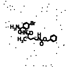 C[C@@H](CCCNC(=O)OCc1ccccc1)C(=O)Nc1cc(Br)ccc1C(N)=O